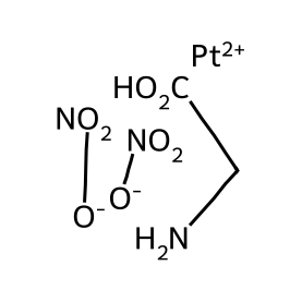 NCC(=O)O.O=[N+]([O-])[O-].O=[N+]([O-])[O-].[Pt+2]